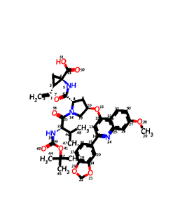 C=C[C@@H]1C[C@]1(NC(=O)[C@@H]1C[C@@H](Oc2cc(-c3ccc4c(c3)OCO4)nc3cc(OC)ccc23)CN1C(=O)[C@@H](NC(=O)OC(C)(C)C)C(C)C)C(=O)O